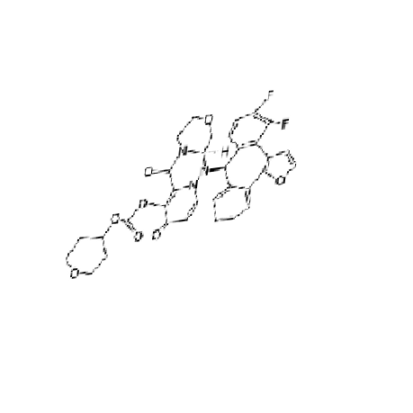 O=C(Oc1c2n(ccc1=O)N([C@@H]1c3ccccc3-c3occc3-c3c1ccc(F)c3F)[C@@H]1COCCN1C2=O)OC1CCOCC1